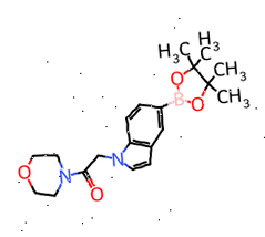 CC1(C)OB(c2ccc3c(ccn3CC(=O)N3CCOCC3)c2)OC1(C)C